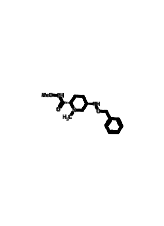 COBC(=O)[C@@H]1CC[C@@H](NOCc2ccccc2)CN1C